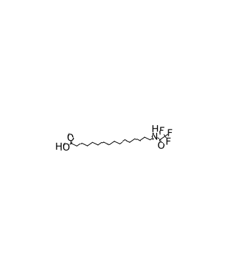 O=C(O)CCCCCCCCCCCCCCCNC(=O)C(F)(F)F